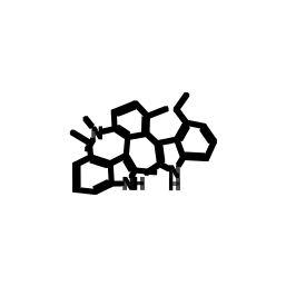 CCc1cccc2[nH]c(C)c(-c3c(C)ccc(N(C)C)c3-c3c(C)[nH]c4cccc(CC)c34)c12